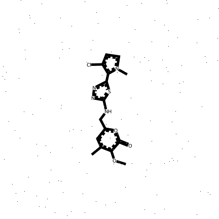 COc1c(C)cc(CNc2nnc(-c3c(Cl)ccn3C)s2)oc1=O